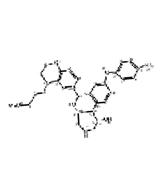 COCCCN1CCOc2ccc(CO[C@H]3CNC[C@@H](O)[C@@H]3c3ccc(Oc4ccc(N)cc4)cc3)cc21